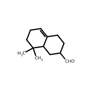 CC1(C)CCC=C2CCC(C=O)CC21